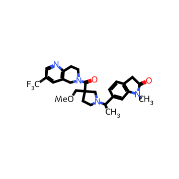 COCC1(C(=O)N2CCc3ncc(C(F)(F)F)cc3C2)CCN(C(C)c2ccc3c(c2)N(C)C(=O)C3)C1